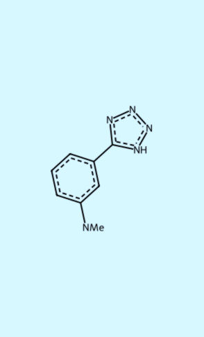 CNc1cccc(-c2nnn[nH]2)c1